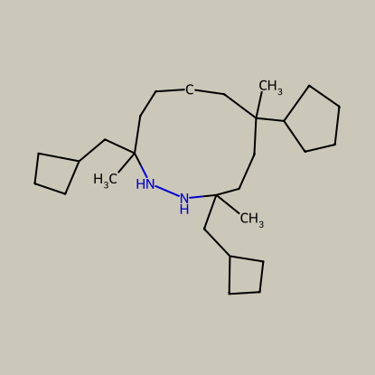 CC1(CC2CCC2)CCCCC(C)(C2CCCC2)CCC(C)(CC2CCC2)NN1